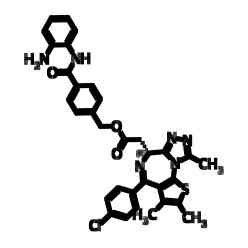 Cc1sc2c(c1C)C(c1ccc(Cl)cc1)=N[C@H](CC(=O)OCc1ccc(C(=O)Nc3ccccc3N)cc1)c1nnc(C)n1-2